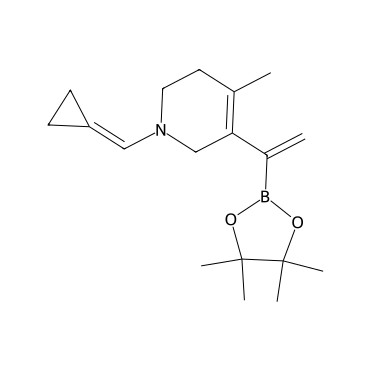 C=C(B1OC(C)(C)C(C)(C)O1)C1=C(C)CCN(C=C2CC2)C1